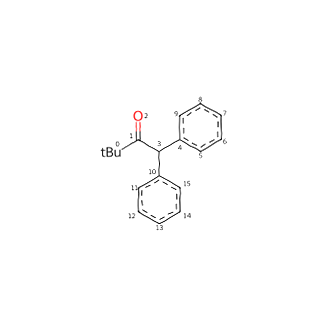 CC(C)(C)C(=O)C(c1ccccc1)c1ccccc1